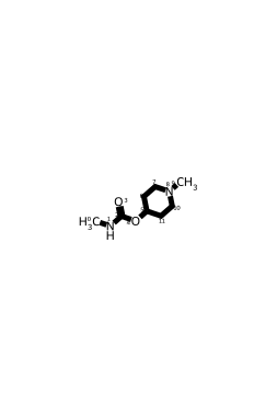 CNC(=O)OC1CCN(C)CC1